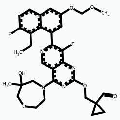 CCc1c(F)ccc2cc(OCOC)cc(-c3ncc4c(N5CCOCC(C)(O)C5)nc(OCC5(C=O)CC5)nc4c3F)c12